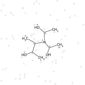 CC(O)C(C)N(C(C)O)C(C)O